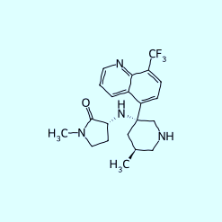 C[C@@H]1CNC[C@](N[C@@H]2CCN(C)C2=O)(c2ccc(C(F)(F)F)c3ncccc23)C1